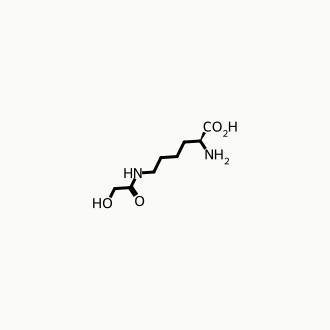 N[C@@H](CCCCNC(=O)CO)C(=O)O